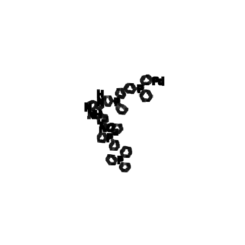 Nc1nccc2[nH]cc(-c3ccc([N+](=O)[O-])cc3)c12.[Pd].c1ccc(P(c2ccccc2)c2ccccc2)cc1.c1ccc(P(c2ccccc2)c2ccccc2)cc1.c1ccc(P(c2ccccc2)c2ccccc2)cc1.c1ccc(P(c2ccccc2)c2ccccc2)cc1